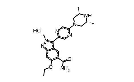 CCOc1cc2nn(C)c(-c3cnc(N4C[C@@H](C)N[C@@H](C)C4)cn3)c2cc1C(N)=O.Cl